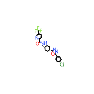 O=C(NC[C@H]1CC[C@H](c2nnc(-c3ccc(Cl)cc3)o2)CC1)c1ccc(C(F)(F)F)cn1